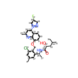 Cc1cc(Cl)c(COc2cccc3c(-n4cc(F)cn4)cc(C)nc23)c([C@H](C)NC(=O)[C@H](O)CC(C)C)c1